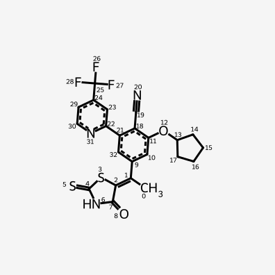 C/C(=C1/SC(=S)NC1=O)c1cc(OC2CCCC2)c(C#N)c(-c2cc(C(F)(F)F)ccn2)c1